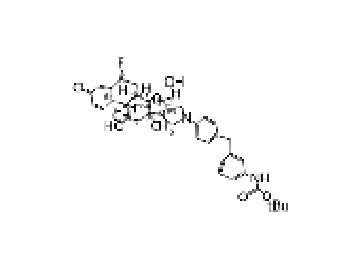 CC(C)(C)OC(=O)Nc1cccc(Cc2ccc(N3C[C@@H]4C[C@H]5[C@@H]6C[C@H](F)C7=CC(=O)C=C[C@]7(C)[C@@]6(F)[C@@H](O)C[C@]5(C)[C@]4(C(=O)CO)C3)cc2)c1